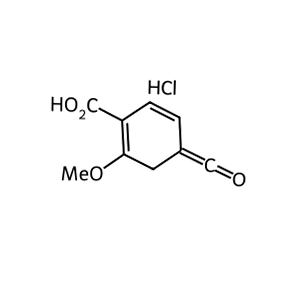 COC1=C(C(=O)O)C=CC(=C=O)C1.Cl